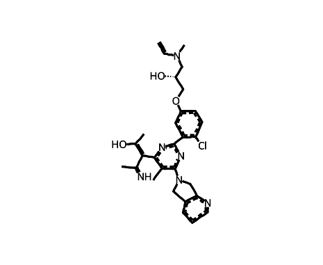 C=CN(C)C[C@@H](O)COc1ccc(Cl)c(-c2nc(/C(C(C)=N)=C(\C)O)c(C)c(N3Cc4cccnc4C3)n2)c1